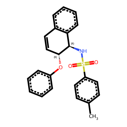 Cc1ccc(S(=O)(=O)N[C@@H]2c3ccccc3C=C[C@H]2Oc2ccccc2)cc1